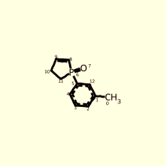 Cc1cccc(P2(=O)C=CCC2)c1